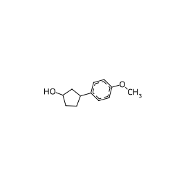 COc1ccc(C2CCC(O)C2)cc1